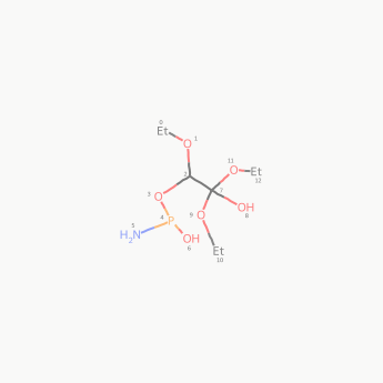 CCOC(OP(N)O)C(O)(OCC)OCC